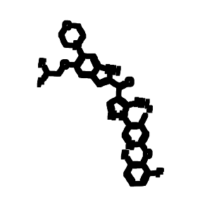 Cc1cc(Oc2c(F)cccc2F)ncc1-n1ncc(C(=O)c2cc3cc(OCC(F)F)c(N4CCOCC4)cc3[nH]2)c1N